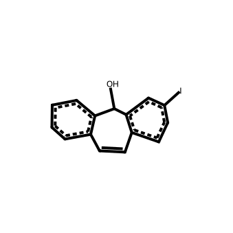 OC1c2ccccc2C=Cc2ccc(I)cc21